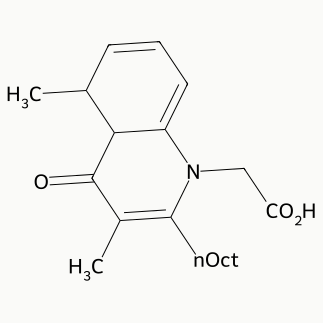 CCCCCCCCC1=C(C)C(=O)C2C(=CC=CC2C)N1CC(=O)O